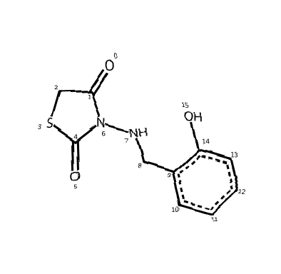 O=C1CSC(=O)N1NCc1ccccc1O